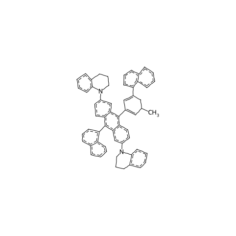 CC1C=C(c2c3cc(N4CCCc5ccccc54)ccc3c(-c3cccc4ccccc34)c3cc(N4CCCc5ccccc54)ccc23)C=C(c2cccc3ccccc23)C1